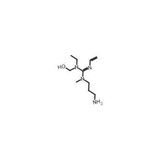 C=C/N=C(/N(C)CCCN)N(CC)CO